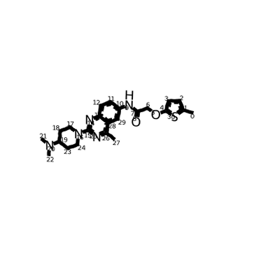 Cc1ccc(OCC(=O)Nc2ccc3nc(N4CCC(N(C)C)CC4)nc(C)c3c2)s1